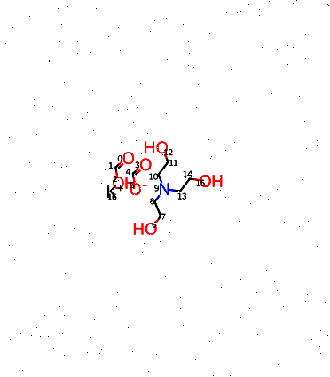 O=CO.O=C[O-].OCCN(CCO)CCO.[K+]